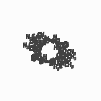 CN[C@@H](C)C(=O)N[C@H](C(=O)N1C[C@@H]2C[C@H]1C(=O)N[C@@H](Cc1ccccc1)C(=O)NCc1cn(nn1)[C@H]1C[C@@H](C(=O)N[C@@H](Cc3ccccc3)C(=O)NCc3cn2nn3)N(C(=O)[C@@H](NC(=O)[C@H](C)NC)C(C)C)C1)C(C)C